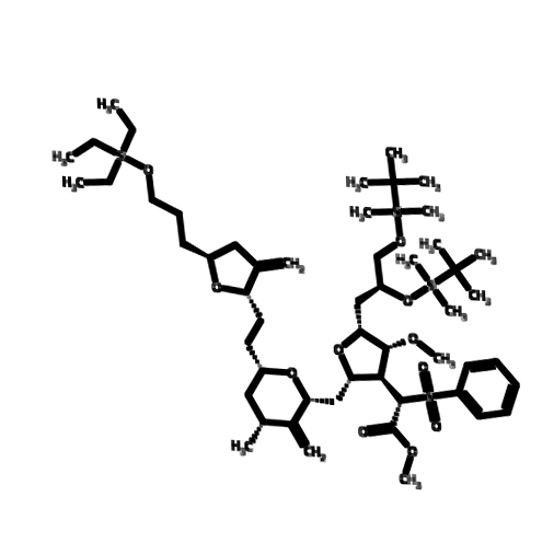 C=C1C[C@H](CCCO[Si](CC)(CC)CC)O[C@H]1CC[C@H]1C[C@@H](C)C(=C)[C@@H](C[C@@H]2O[C@H](C[C@@H](CO[Si](C)(C)C(C)(C)C)O[Si](C)(C)C(C)(C)C)[C@H](OC)[C@H]2[C@@H](C(=O)OC)S(=O)(=O)c2ccccc2)O1